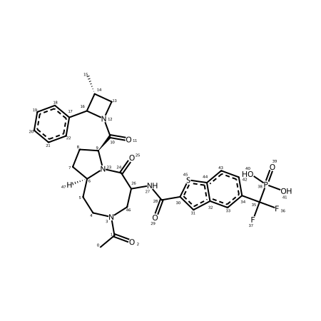 CC(=O)N1CC[C@H]2CC[C@@H](C(=O)N3C[C@@H](C)C3c3ccccc3)N2C(=O)C(NC(=O)c2cc3cc(C(F)(F)P(=O)(O)O)ccc3s2)C1